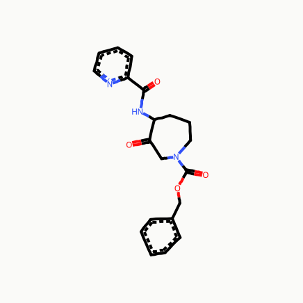 O=C(NC1CCCN(C(=O)OCc2ccccc2)CC1=O)c1ccccn1